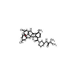 Bc1ccc(C(=O)N2CCC[C@H](NC(=O)N(C)C)C2)c(NC2(Cc3cccc(Cl)c3)C(=O)Nc3cc(Cl)ccc32)c1